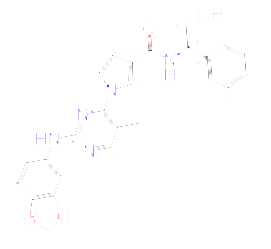 Cc1cnc(Nc2ccc3c(c2)OCO3)nc1-n1ccc(C(=O)NC(CO)c2ccccc2)c1